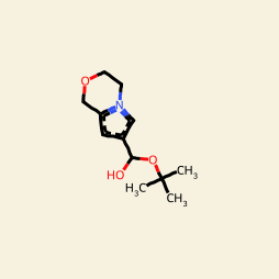 CC(C)(C)OC(O)c1cc2n(c1)CCOC2